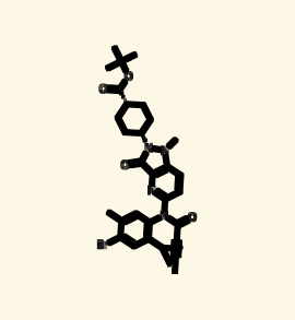 CC#CC(=O)N(c1ccc2c(n1)c(=O)n([C@H]1CC[C@@H](C(=O)OC(C)(C)C)CC1)n2C)c1cc(C)c(Br)cc1C1CC1